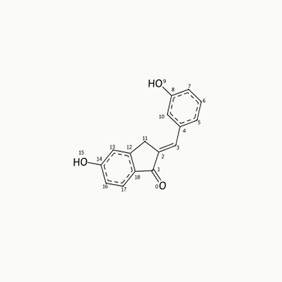 O=C1/C(=C/c2cccc(O)c2)Cc2cc(O)ccc21